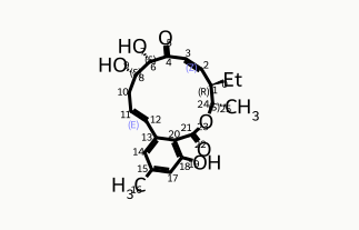 CC[C@@H]1/C=C\C(=O)[C@@H](O)[C@@H](O)C/C=C/c2cc(C)cc(O)c2C(=O)O[C@H]1C